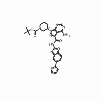 CC(C)(C)OC(=O)N1CCC[C@@H](n2nc(C(=O)Nc3nc4cc(-c5cccs5)ccc4o3)c3c(N)ncnc32)C1